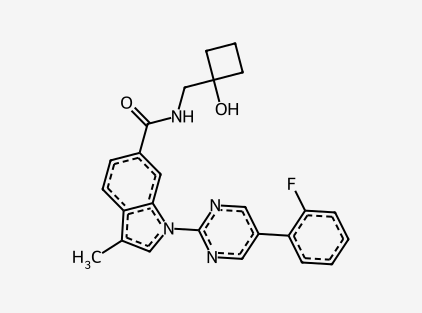 Cc1cn(-c2ncc(-c3ccccc3F)cn2)c2cc(C(=O)NCC3(O)CCC3)ccc12